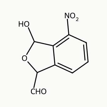 O=CC1OC(O)c2c1cccc2[N+](=O)[O-]